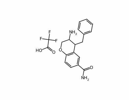 NC(=O)c1ccc2c(c1)C(Cc1ccccc1)C(N)CO2.O=C(O)C(F)(F)F